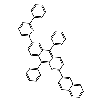 c1ccc(-c2cccc(-c3ccc4c(-c5ccccc5)c5cc(-c6ccc7ccccc7c6)ccc5c(-c5ccccc5)c4c3)n2)cc1